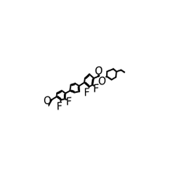 CCC1CCC(OC(=O)c2ccc(-c3ccc(-c4ccc(C5CO5)c(F)c4F)cc3)c(F)c2F)CC1